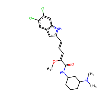 COC(=CC=Cc1cc2cc(Cl)c(Cl)cc2[nH]1)C(=O)NC1CCCC(N(C)C)C1